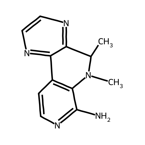 CC1c2nccnc2-c2ccnc(N)c2N1C